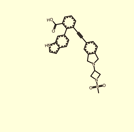 CS(=O)(=O)N1CC(N2Cc3ccc(C#Cc4cccc(C(=O)O)c4-c4ccc5cc[nH]c5c4)cc3C2)C1